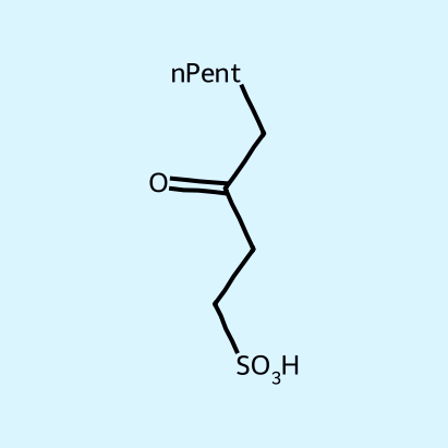 CCCCCCC(=O)CCS(=O)(=O)O